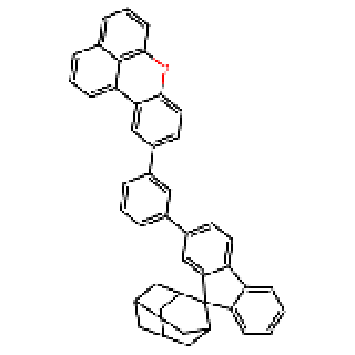 c1cc(-c2ccc3c(c2)-c2cccc4cccc(c24)O3)cc(-c2ccc3c(c2)C2(c4ccccc4-3)C3CC4CC(C3)CC2C4)c1